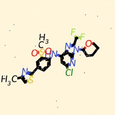 Cc1csc(-c2ccc(Nc3cc(Cl)nc4c3nc(C(F)F)n4C3CCCCO3)c(S(C)(=O)=O)c2)n1